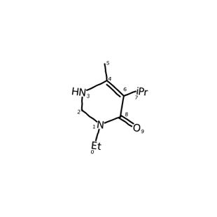 CCN1CNC(C)=C(C(C)C)C1=O